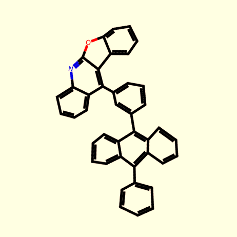 c1ccc(-c2c3ccccc3c(-c3cccc(-c4c5ccccc5nc5oc6ccccc6c45)c3)c3ccccc23)cc1